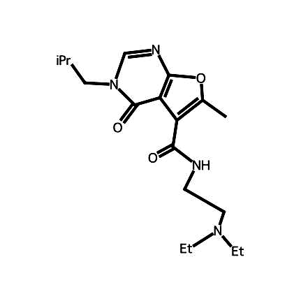 CCN(CC)CCNC(=O)c1c(C)oc2ncn(CC(C)C)c(=O)c12